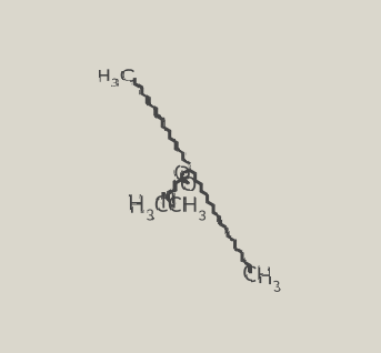 CCC=CCC=CCC=CCCCCCCCC[C@H](CCCCCCCCC=CCCCCCCCC)OC(=O)CCCN(C)C